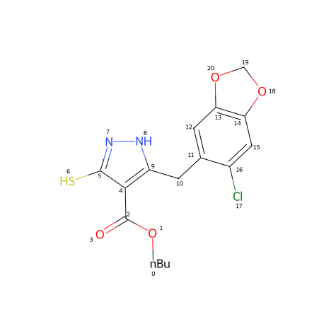 CCCCOC(=O)c1c(S)n[nH]c1Cc1cc2c(cc1Cl)OCO2